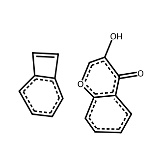 C1=Cc2ccccc21.O=c1c(O)coc2ccccc12